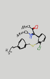 CON=C(C(=O)OC)c1cccc(Cl)c1SCc1ccc(C)cc1